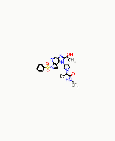 CCC(C(=O)NCC(F)(F)F)N1CC[C@H](n2c(C(C)O)nc3cnc4c(ccn4S(=O)(=O)c4ccccc4)c32)C1